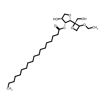 CCCCCCCCCCCCCCCCCC(=O)O[C@@H]1[C@@H](O)CO[C@@H]1[C@@]1(CO)OCC1OCC